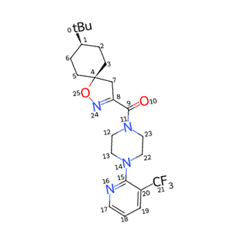 CC(C)(C)[C@H]1CC[C@@]2(CC1)CC(C(=O)N1CCN(c3ncccc3C(F)(F)F)CC1)=NO2